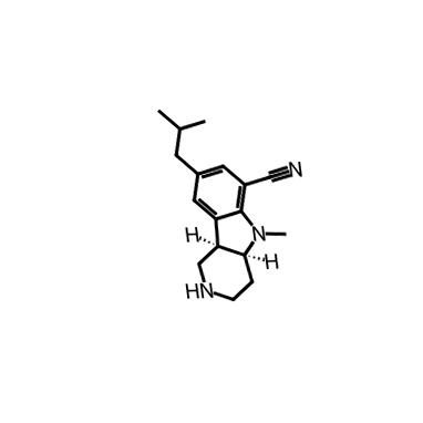 CC(C)Cc1cc(C#N)c2c(c1)[C@@H]1CNCC[C@@H]1N2C